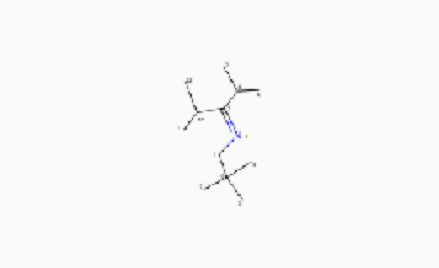 CC(C)C(=NCC(C)(C)C)C(C)C